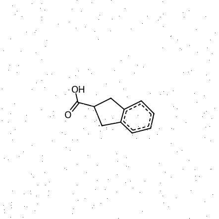 O=C(O)C1[CH]c2ccccc2C1